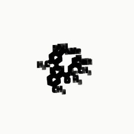 CCn1ncc(CN(C)C(=O)c2nc(-c3cc4c(NC)[nH]nc4cc3C)nc3ccc(C)cc23)c1C